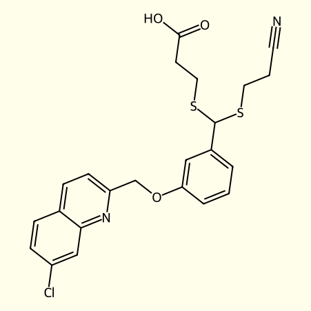 N#CCCSC(SCCC(=O)O)c1cccc(OCc2ccc3ccc(Cl)cc3n2)c1